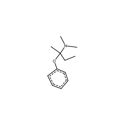 CCC(C)(Oc1ccccc1)N(C)C